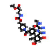 CCNC(=O)C(=N)N(C(=N)c1cc(C(C)C)c(O)cc1O)c1ccc(C(=O)N2CCC(COC(=O)NCCC(=O)OC(C)(C)C)CC2)cc1